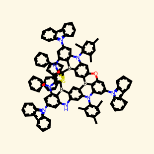 Cc1cc(C)c(N2c3cc4c(cc3B3c5cc6c(cc5Oc5cc(-n7c8ccccc8c8ccccc87)cc2c53)N(c2c(C)cc(C)cc2C)c2cc(-n3c5ccccc5c5ccccc53)cc3c2B6c2sc5ccccc5c2N3c2ccccc2)B2c3sc5ccccc5c3N(c3ccccc3)c3cc(-n5c6ccccc6c6ccccc65)cc(c32)N4)c(C)c1